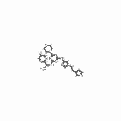 C[C@H](Nc1nc(Nc2cn(CCc3ccsc3)cn2)nc(N2CCOCC2)n1)c1ncc(F)cn1